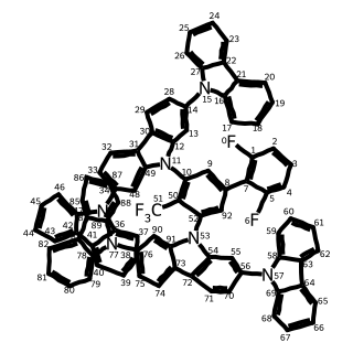 Fc1cccc(F)c1-c1cc(-n2c3cc(-n4c5ccccc5c5ccccc54)ccc3c3ccc(-n4c5ccccc5c5ccccc54)cc32)c(C(F)(F)F)c(-n2c3cc(-n4c5ccccc5c5ccccc54)ccc3c3ccc(-n4c5ccccc5c5ccccc54)cc32)c1